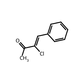 CC(=O)/C(Cl)=C/c1ccccc1